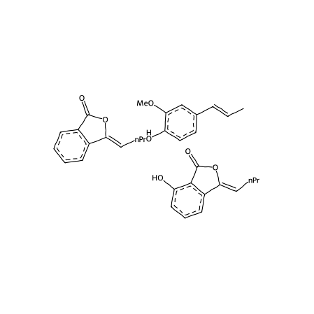 CC=Cc1ccc(O)c(OC)c1.CCCC=C1OC(=O)c2c(O)cccc21.CCCC=C1OC(=O)c2ccccc21